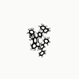 c1ccc(-c2cc(-c3ccccc3)nc(-c3cccc4c3nc(-c3ccc(-c5cccc6ccccc56)cc3)c3c5ccccc5sc43)n2)cc1